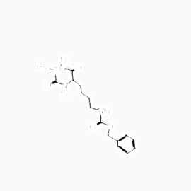 CC(C)(C)OC(=O)NC(CCCCNC(=O)OCc1ccccc1)C(N)=O